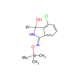 CC(C)C1(O)NC(=NO[Si](C)(C)C(C)(C)C)c2cccc(Cl)c21